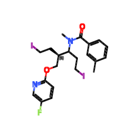 Cc1cccc(C(=O)N(C)C(CCI)[C@H](CCI)COc2ccc(F)cn2)c1